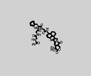 CC[C@@]1(O)C(=O)OCc2c1cc1n(c2=O)Cc2c-1nc1ccc(NC(=O)CNC(=O)[C@H](Cc3ccccc3)NC(=O)CNC(=O)CNC(=O)C(C)C)c3c1c2CCC3